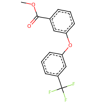 COC(=O)c1cccc(Oc2cccc(C(F)(F)F)c2)c1